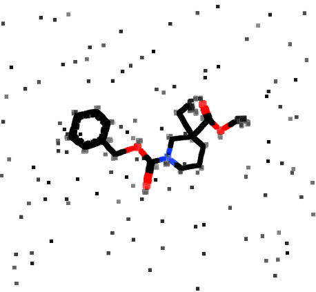 CCC1(C(=O)OC)CCCN(C(=O)OCc2ccccc2)C1